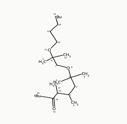 CC(CC(C)(C)OCC(C)(C)OCCCC(C)(C)C)C(C)C(=O)C(C)(C)C